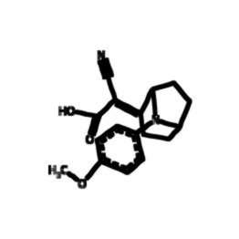 COc1ccc(N2C3CCC(=C(C#N)C(=O)O)C2CC3)cc1